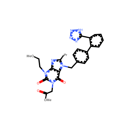 COCCn1c(=O)n(CC(=O)OC)c(=O)c2c1nc(C(C)C)n2Cc1ccc(-c2ccccc2-c2nnn[nH]2)cc1